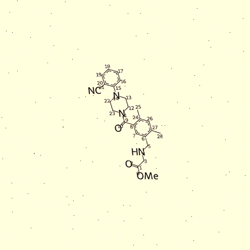 COC(=O)CNCc1cc(C(=O)N2CCN(c3ccccc3C#N)CC2)c(C)cc1C